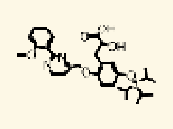 COc1ccccc1-c1nccc(COc2ccc(O[Si](C(C)C)(C(C)C)C(C)C)cc2CC(O)C(=O)O)n1